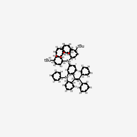 CC(C)(C)c1ccc(N(c2ccc3c(c2)N(c2ccccc2)c2ccccc2C3=C(c2ccccc2)c2ccccc2)c2ccc(C(C)(C)C)cc2-c2ccccc2)c(-c2ccccc2)c1